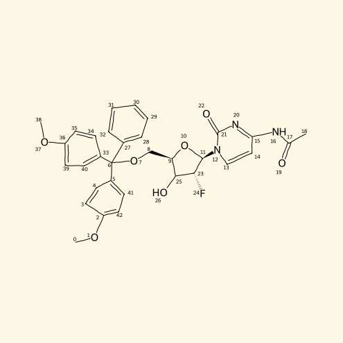 COc1ccc(C(OC[C@H]2O[C@@H](n3ccc(NC(C)=O)nc3=O)[C@H](F)C2O)(c2ccccc2)c2ccc(OC)cc2)cc1